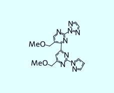 COCc1cc(-c2nc(-n3nccn3)ncc2COC)nc(-n2cccn2)n1